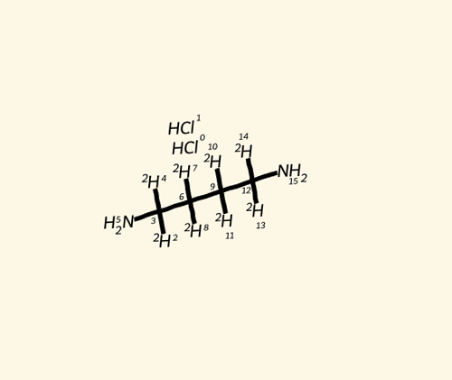 Cl.Cl.[2H]C([2H])(N)C([2H])([2H])C([2H])([2H])C([2H])([2H])N